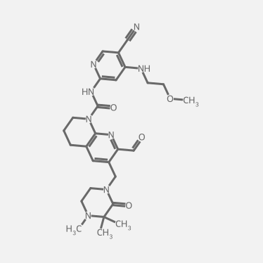 COCCNc1cc(NC(=O)N2CCCc3cc(CN4CCN(C)C(C)(C)C4=O)c(C=O)nc32)ncc1C#N